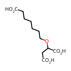 O=C(O)CCCCCCOC(CC(=O)O)C(=O)O